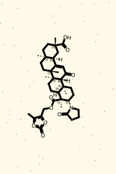 Cc1oc(=O)oc1COC(=O)[C@]1(C)[C@@H](N2CCCC2=O)CC[C@@]2(C)[C@H]1CC[C@]1(C)[C@@H]2C(=O)C=C2[C@@H]3C[C@@](C)(C(=O)O)CC[C@]3(C)CC[C@]21C